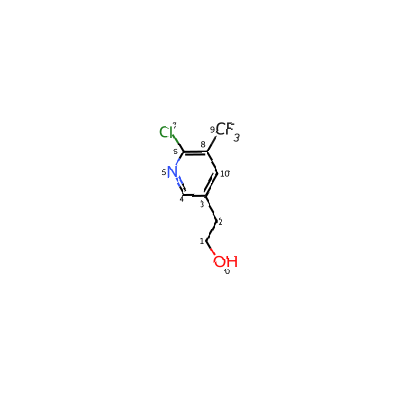 OCCc1cnc(Cl)c(C(F)(F)F)c1